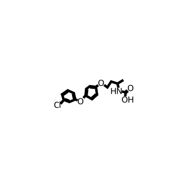 CC(CCOc1ccc(Oc2cccc(Cl)c2)cc1)NC(=O)O